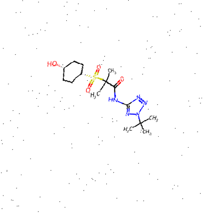 CC(C)(C)n1nnc(NC(=O)C(C)(C)S(=O)(=O)[C@H]2CC[C@@H](O)CC2)n1